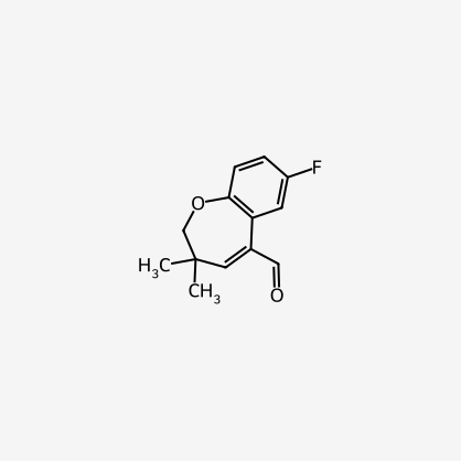 CC1(C)C=C(C=O)c2cc(F)ccc2OC1